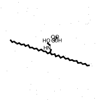 CCCCCCCCCCCCCCCCCCC(CCCCCCCCCCCCCCCCCC)CNCCO.COS(=O)(=O)O